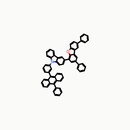 c1ccc(-c2ccc3oc4c(-c5ccc6c(c5)c5ccccc5n6-c5cccc(-c6c7ccccc7c(-c7ccccc7)c7ccccc67)c5)cc(-c5ccccc5)cc4c3c2)cc1